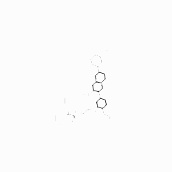 C=C(C)C(=O)OCCOc1cc(-c2cc3ccc(C4CCC(CCCCC)CC4)cc3cc2CC)ccc1CCO